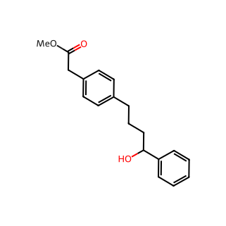 COC(=O)Cc1ccc(CCCC(O)c2ccccc2)cc1